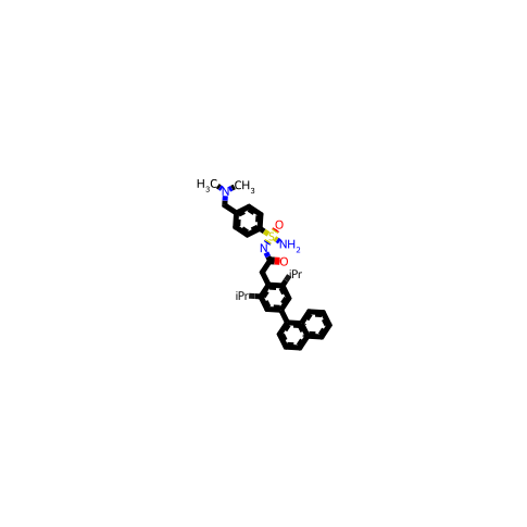 CC(C)c1cc(-c2cccc3ccccc23)cc(C(C)C)c1CC(=O)N=S(N)(=O)c1ccc(CN(C)C)cc1